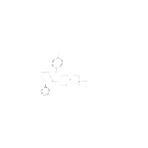 CCCC1(C(=O)O)CCC2(CCN(C[C@]3(Cc4ccc(Cl)cc4Cl)CNC[C@@H]3c3ccsc3)CC2)O1